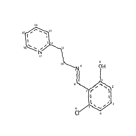 Oc1cccc(Cl)c1C=NCCc1ccccn1